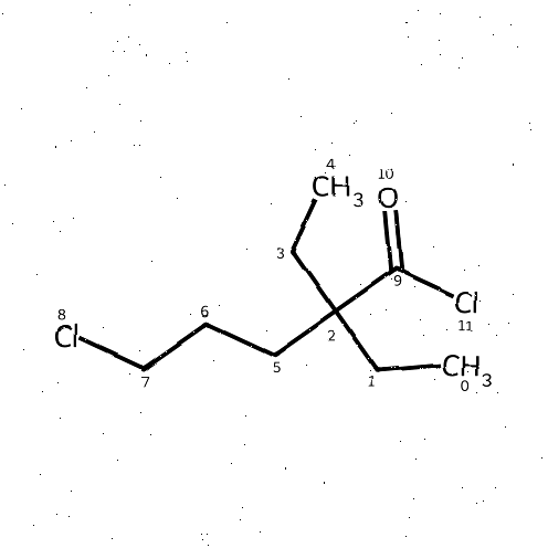 CCC(CC)(CCCCl)C(=O)Cl